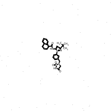 CC(C)(C)c1cc(NC(=O)c2cccc3ccccc23)n(-c2cccc(CN3CC(=O)NS3(=O)=O)c2)n1